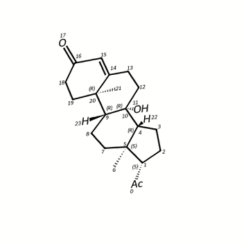 CC(=O)[C@H]1CC[C@@H]2[C@]1(C)CC[C@H]1[C@@]2(O)CCC2=CC(=O)CC[C@@]21C